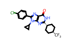 O=c1[nH]c([C@H]2CC[C@@H](C(F)(F)F)CC2)nc2c1nc(-c1ccc(Cl)cc1)n2C1CC1